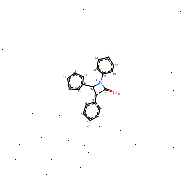 O=C1C(c2ccc(F)cc2)C(c2ccccc2)N1c1ccccc1